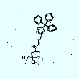 CC(C)(C)CC(=S)NCCCc1cn(C(c2ccccc2)(c2ccccc2)c2ccccc2)cn1